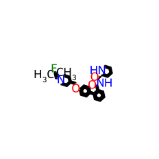 CC(C)(F)CN1CCC(COc2ccc(-c3ccccc3C(=O)NC(=O)[C@@H]3CCCCN3)cc2)CC1